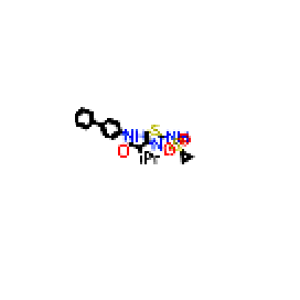 CC(C)C(C(=O)Nc1ccc(-c2ccccc2)cc1)c1csc(NS(=O)(=O)C2CC2)n1